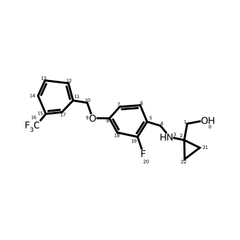 OCC1(NCc2ccc(OCc3cccc(C(F)(F)F)c3)cc2F)CC1